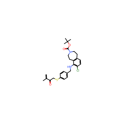 C=C(C)C(=O)CSc1ccc(CNc2c(Cl)ccc3c2CCN(C(=O)OC(C)(C)C)CC3)cc1